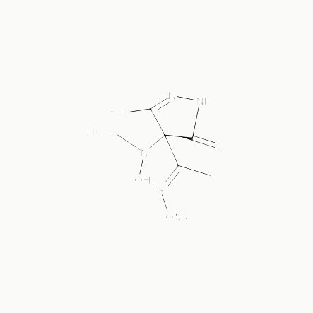 CO/N=C(\C)C1(N(O)C(=O)O)C(=O)NN=C1C(C)(C)C